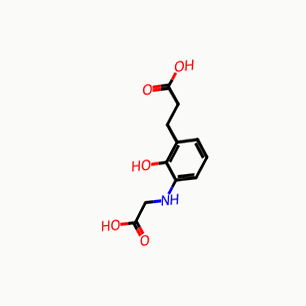 O=C(O)CCc1cccc(NCC(=O)O)c1O